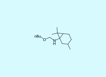 CCCCOCNC12CC(C)CCC1C2(C)C